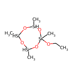 CCO[Si]1(C)O[SiH](C)O[SiH](C)O[SiH](C)O1